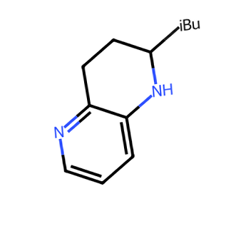 CCC(C)C1CCc2ncccc2N1